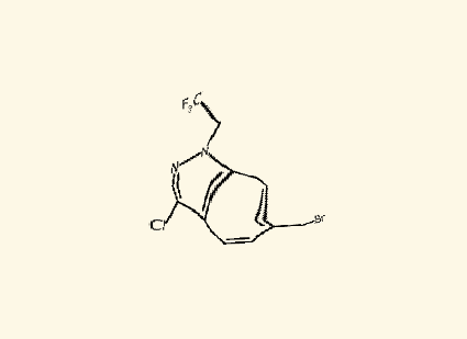 FC(F)(F)Cn1nc(Cl)c2ccc(Br)cc21